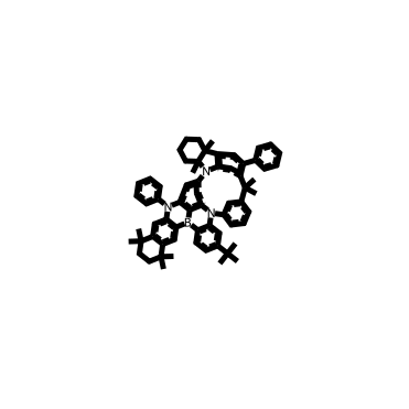 CC(C)(C)c1ccc2c(c1)N1c3cccc(c3)C(C)(C)c3cc4c(cc3-c3ccccc3)C3(C)CCCCC3(C)N4c3cc1c1c(c3)N(c3ccccc3)c3cc4c(cc3B21)C(C)(C)CCC4(C)C